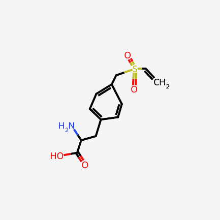 C=CS(=O)(=O)Cc1ccc(CC(N)C(=O)O)cc1